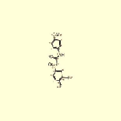 COc1ccc(NC(=O)C[S+]([O-])c2ccc(F)c(F)c2)cc1